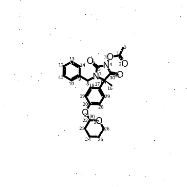 CC(=O)ON1C(=O)N(Cc2ccccc2)[C@@](C)(c2ccc(O[C@@H]3CCCCO3)cc2)C1=O